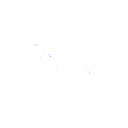 Cc1nc2ccc(-c3cnn4ccccc34)nc2n1C1CCCN(C(=O)CC#N)C1